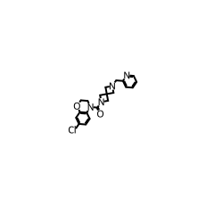 O=C(N1CC2(CN(Cc3ccccn3)C2)C1)N1CCOc2cc(Cl)ccc21